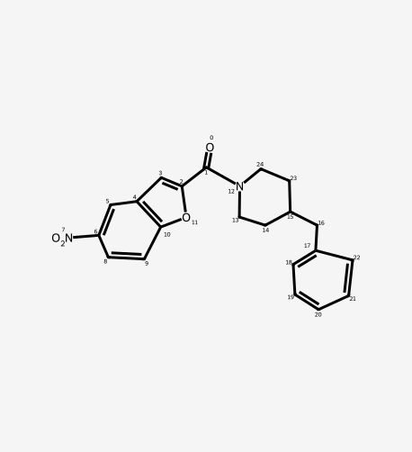 O=C(c1cc2cc([N+](=O)[O-])ccc2o1)N1CCC(Cc2ccccc2)CC1